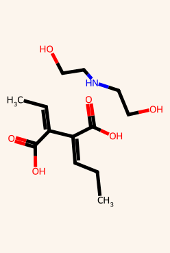 CC=C(C(=O)O)C(=CCC)C(=O)O.OCCNCCO